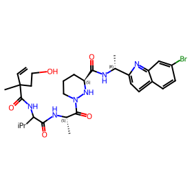 C=CC(C)(CCO)C(=O)NC(C(=O)N[C@@H](C)C(=O)N1CCC[C@@H](C(=O)N[C@H](C)c2ccc3ccc(Br)cc3n2)N1)C(C)C